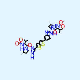 COC(=O)N[C@H](C(=O)N1C[C@@H](C)C[C@H]1c1nc(-c2cc3cc(-c4ccc5[nH]c([C@@H]6C[C@H](C)CN6C(=O)[C@@H](NC(=O)OC)C(C)C)nc5c4)sc3s2)c[nH]1)C(C)C